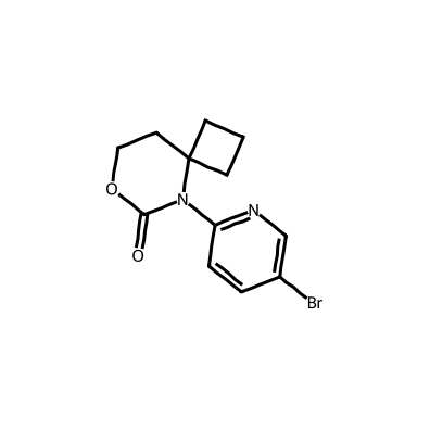 O=C1OCCC2(CCC2)N1c1ccc(Br)cn1